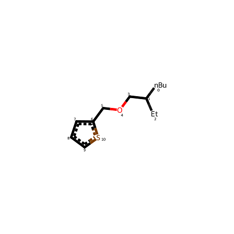 CCCCC(CC)COCc1cccs1